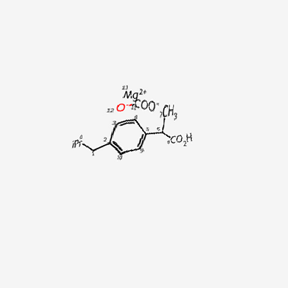 CC(C)Cc1ccc(C(C)C(=O)O)cc1.O=C([O-])[O-].[Mg+2]